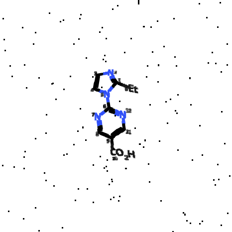 CCc1nccn1-c1ncc(C(=O)O)cn1